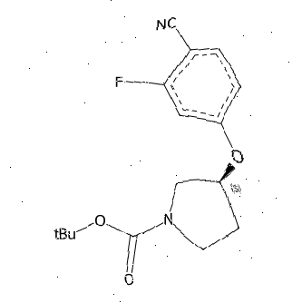 CC(C)(C)OC(=O)N1CC[C@H](Oc2ccc(C#N)c(F)c2)C1